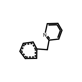 C1=C=CC(Cc2ccccc2)=NC=1